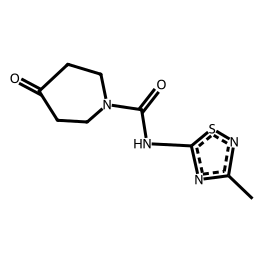 Cc1nsc(NC(=O)N2CCC(=O)CC2)n1